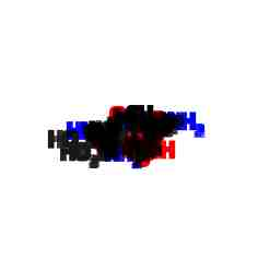 CC(C)(CNC(=O)c1ccc(-c2c3ccc(=N)c(S(=O)(=O)O)c-3oc3c(S(=O)(=O)O)c(N)ccc23)c(C(=O)O)c1)SSCO[C@@H]1C[C@H](n2ccc(N)nc2=O)O[C@@H]1COP(=O)(O)OP(=O)(O)OP(=O)(O)O